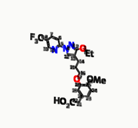 CCOc1nn(-c2ccc(C(F)(F)F)cn2)cc1CCCOc1cc(CC(=O)O)ccc1OC